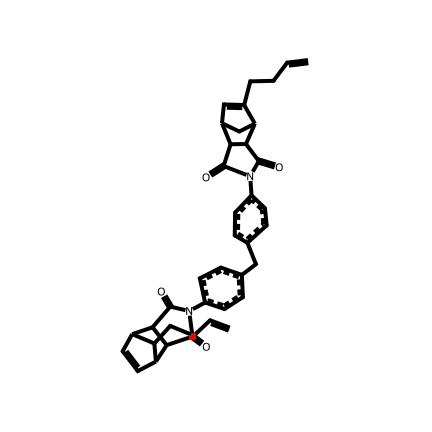 C=CCCC1=CC2CC1C1C(=O)N(c3ccc(Cc4ccc(N5C(=O)C6C7C=CC(C7CCC=C)C6C5=O)cc4)cc3)C(=O)C21